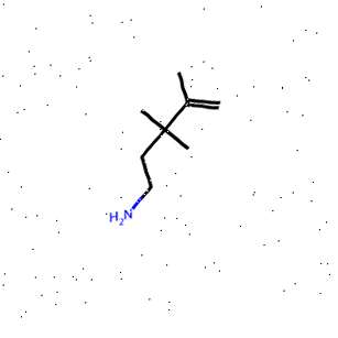 C=C(C)C(C)(C)CCN